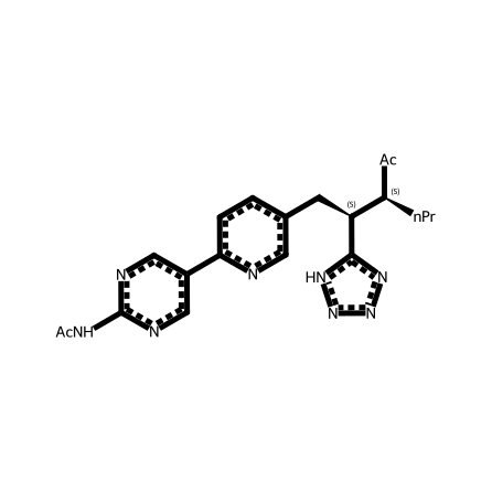 CCC[C@H](C(C)=O)[C@H](Cc1ccc(-c2cnc(NC(C)=O)nc2)nc1)c1nnn[nH]1